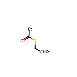 CCC(=O)SC[C]=O